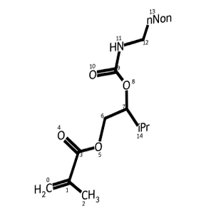 C=C(C)C(=O)OCC(OC(=O)NCCCCCCCCCC)C(C)C